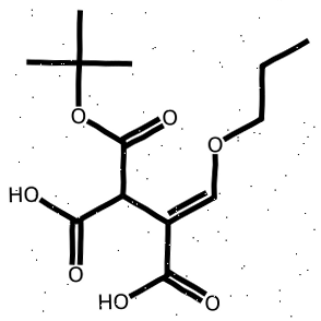 CCCO/C=C(/C(=O)O)C(C(=O)O)C(=O)OC(C)(C)C